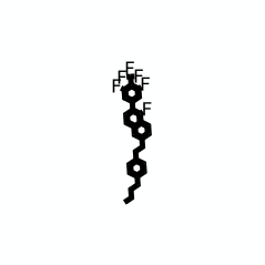 CCCCc1ccc(CCc2ccc3c(F)c(-c4cc(F)c(C(F)(F)F)c(F)c4)ccc3c2)cc1